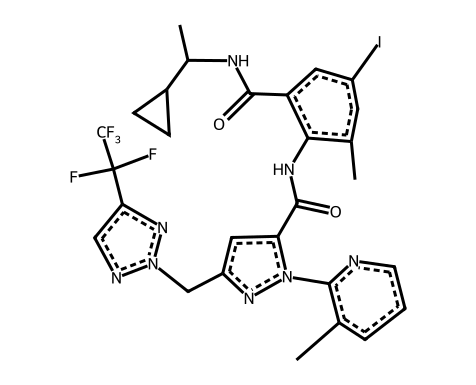 Cc1cccnc1-n1nc(Cn2ncc(C(F)(F)C(F)(F)F)n2)cc1C(=O)Nc1c(C)cc(I)cc1C(=O)NC(C)C1CC1